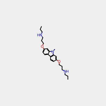 CCCNCCCOc1ccc2c3ccc(OCCCNCCC)cc3n(C)c2c1